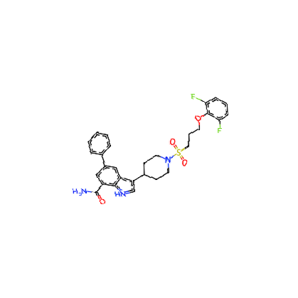 NC(=O)c1cc(-c2ccccc2)cc2c(C3CCN(S(=O)(=O)CCCOc4c(F)cccc4F)CC3)c[nH]c12